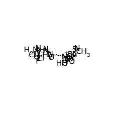 Cc1ncsc1-c1ccc(CNC(=O)[C@@H]2C[C@@H](O)CN2C(=O)[C@@H](NCCCCCCCC(=O)N2CCC(n3cc(-c4cnc(N)c(O[C@H](C)c5c(Cl)ccc(F)c5Cl)c4)cn3)CC2)C(C)(C)C)cc1